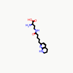 NC(CCNC(=O)CCCCc1ccc2c(n1)NCCC2)C(=O)O